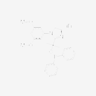 COc1cc(OC)cc(N2C[C@H](C(C)C)N=C2C(C)(C)OP(c2ccccc2)c2ccccc2)c1